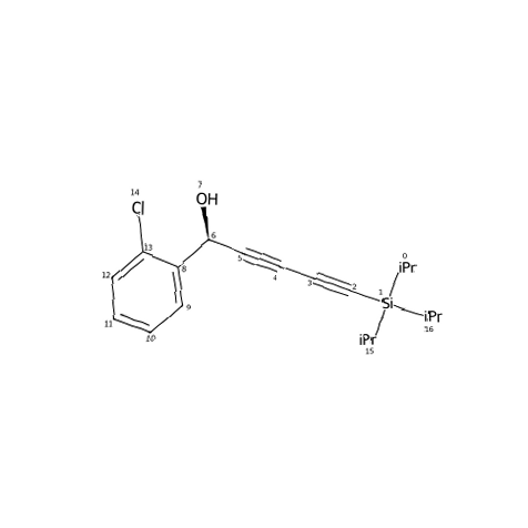 CC(C)[Si](C#CC#C[C@H](O)c1ccccc1Cl)(C(C)C)C(C)C